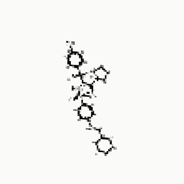 O=C([C@H](NS(=O)(=O)c1ccc(OCC2CCCCC2)cc1)C(F)(F)c1ccc(Cl)cc1)N1CCCC1